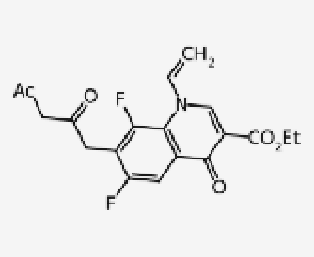 C=Cn1cc(C(=O)OCC)c(=O)c2cc(F)c(CC(=O)CC(C)=O)c(F)c21